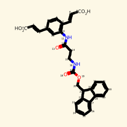 O=C(O)/C=C/c1ccc(/C=C/C(=O)O)c(NC(=O)CCNC(=O)OCC2c3ccccc3-c3ccccc32)c1